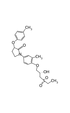 CCS(=O)(=O)C[C@@H](O)COc1ccc(N2CCC(Oc3ccc(C)cc3)C2=O)cc1C